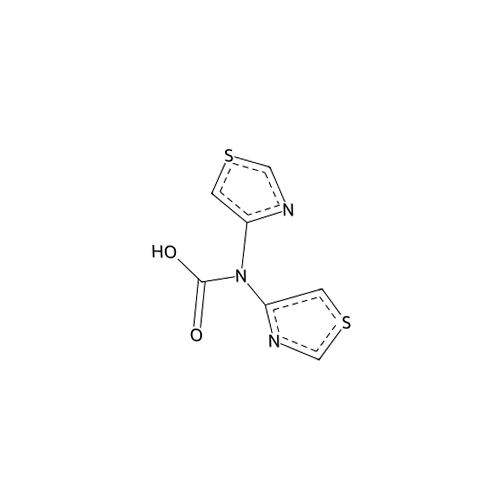 O=C(O)N(c1cscn1)c1cscn1